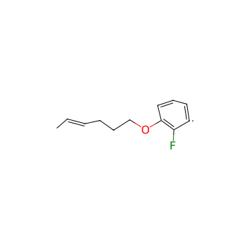 C/C=C/CCCOc1ccc[c]c1F